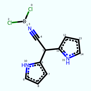 Cl[B]Cl.N#CC(c1ccc[nH]1)c1ccc[nH]1